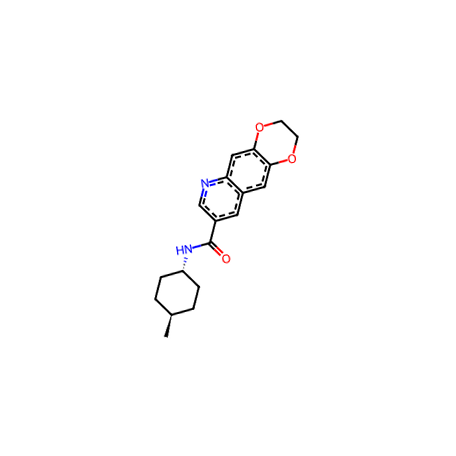 C[C@H]1CC[C@H](NC(=O)c2cnc3cc4c(cc3c2)OCCO4)CC1